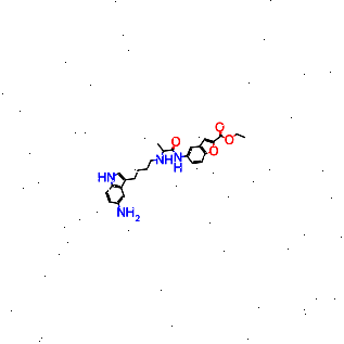 CCOC(=O)c1cc2cc(NC(=O)C(C)NCCCCc3c[nH]c4ccc(N)cc34)ccc2o1